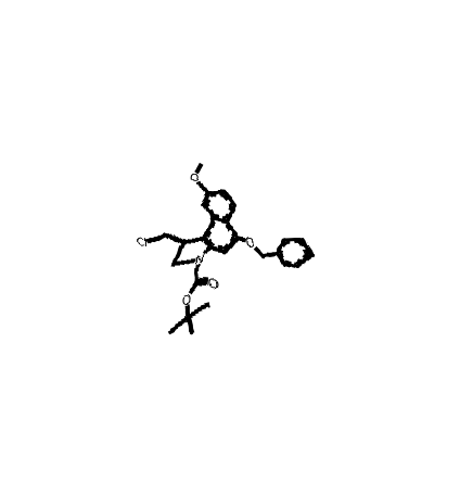 COc1ccc2c(OCc3ccccc3)cc3c(c2c1)C(CCl)CN3C(=O)OC(C)(C)C